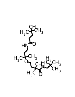 CC(C)(C)CCC(=O)NCCC(C)(C)OCCC(C)(C)C(=O)NCC(C)(C)C